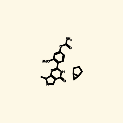 C1CC2CC2C1.COc1cc(OC(N)=O)ccc1-c1nc2c(cnn2C)c(=O)[nH]1